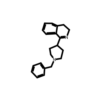 c1ccc(CN2CCC(C3=NCCc4ccccc43)CC2)cc1